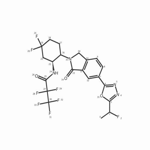 CC(F)c1nnc(-c2ccc3c(c2)C(=O)N(C2CCC(F)(F)C[C@@H]2NC(=O)C(F)(F)C(F)(F)F)C3)o1